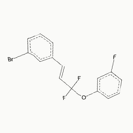 Fc1cccc(OC(F)(F)C=Cc2cccc(Br)c2)c1